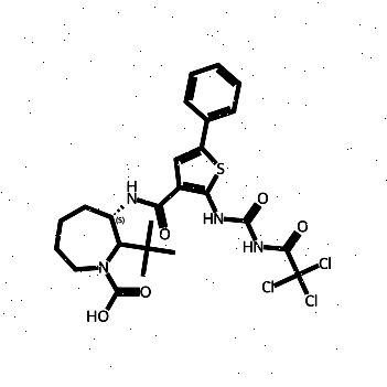 CC(C)(C)C1[C@@H](NC(=O)c2cc(-c3ccccc3)sc2NC(=O)NC(=O)C(Cl)(Cl)Cl)CCCCN1C(=O)O